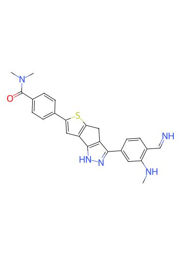 CNc1cc(-c2n[nH]c3c2Cc2sc(-c4ccc(C(=O)N(C)C)cc4)cc2-3)ccc1C=N